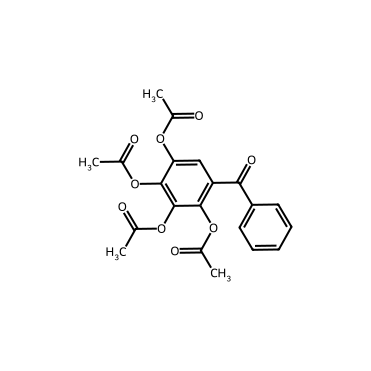 CC(=O)Oc1cc(C(=O)c2ccccc2)c(OC(C)=O)c(OC(C)=O)c1OC(C)=O